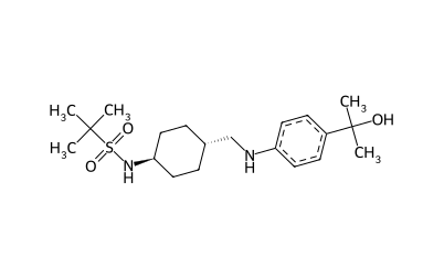 CC(C)(O)c1ccc(NC[C@H]2CC[C@H](NS(=O)(=O)C(C)(C)C)CC2)cc1